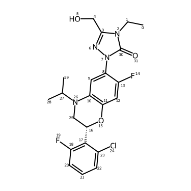 CCn1c(CO)nn(-c2cc3c(cc2F)O[C@H](c2c(F)cccc2Cl)CN3C(C)C)c1=O